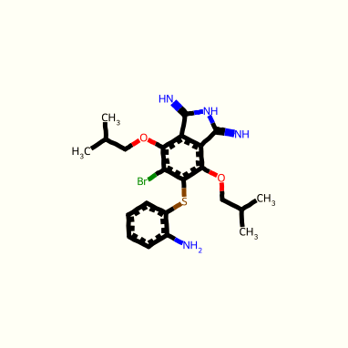 CC(C)COc1c(Br)c(Sc2ccccc2N)c(OCC(C)C)c2c1C(=N)NC2=N